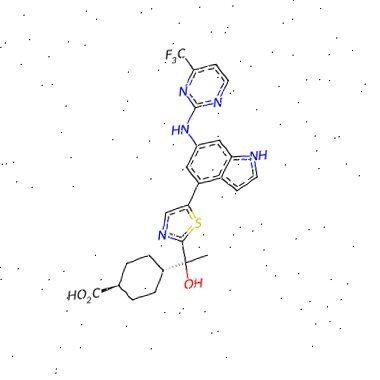 CC(O)(c1ncc(-c2cc(Nc3nccc(C(F)(F)F)n3)cc3[nH]ccc23)s1)[C@H]1CC[C@H](C(=O)O)CC1